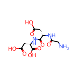 NCC(=O)N[C@@H](CC(=O)O)C(=O)N[C@@H](CC(=O)O)C(=O)O